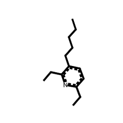 CCCCCc1ccc(CC)nc1CC